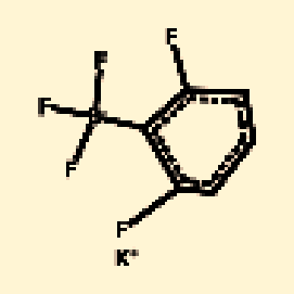 Fc1cccc(F)c1[B-](F)(F)F.[K+]